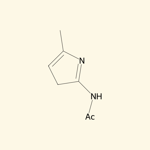 CC(=O)NC1=NC(C)=CC1